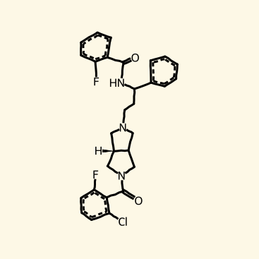 O=C(NC(CCN1CC2CN(C(=O)c3c(F)cccc3Cl)C[C@@H]2C1)c1ccccc1)c1ccccc1F